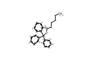 CCCCCC(S)SC(c1ccccc1)(c1ccccc1)c1ccccc1